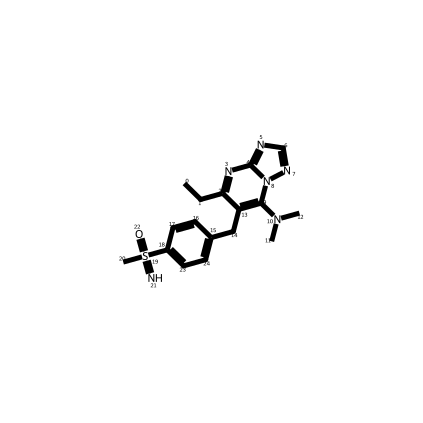 CCc1nc2ncnn2c(N(C)C)c1Cc1ccc(S(C)(=N)=O)cc1